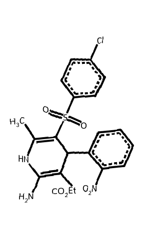 CCOC(=O)C1=C(N)NC(C)=C(S(=O)(=O)c2ccc(Cl)cc2)C1c1ccccc1[N+](=O)[O-]